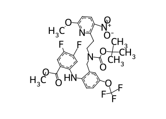 COC(=O)c1cc(F)c(F)cc1Nc1ccc(OC(F)(F)F)cc1CN(CCc1nc(OC)ccc1[N+](=O)[O-])C(=O)OC(C)(C)C